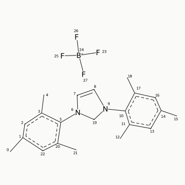 Cc1cc(C)c(N2C=CN(c3c(C)cc(C)cc3C)C2)c(C)c1.F[B-](F)(F)F